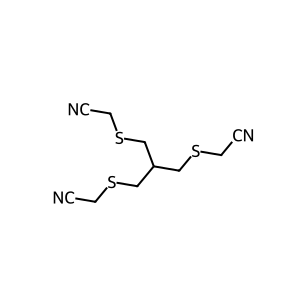 N#CCSCC(CSCC#N)CSCC#N